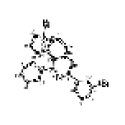 Brc1cccc(-c2nc(-c3ccccc3)c3c(ccc4c(Br)cccc43)n2)c1